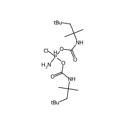 CC(C)(C)CC(C)(C)NC(=O)O[PH](N)(Cl)OC(=O)NC(C)(C)CC(C)(C)C